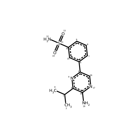 CC(C)c1nc(-c2cccc(S(N)(=O)=O)c2)cnc1N